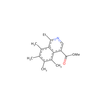 CCc1ncc(C(=O)OC)c2c(C)c(C)c(C)c(C)c12